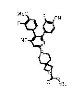 COc1ccc(-c2c(C#N)cc(N3CCC4(CC3)CN(C(=O)OC(C)(C)C)C4)nc2-c2ccc(C#N)c(F)c2)cc1F